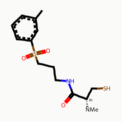 CN[C@@H](CS)C(=O)NCCCS(=O)(=O)c1cccc(C)c1